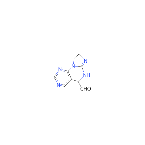 O=CC1NC2=NCCN2c2ncncc21